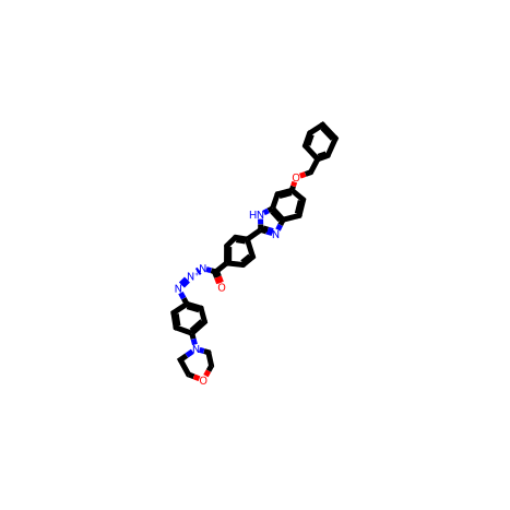 O=C(N=[N+]=Nc1ccc(N2CCOCC2)cc1)c1ccc(-c2nc3ccc(OCc4ccccc4)cc3[nH]2)cc1